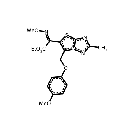 CCOC(=O)/C(=N\OC)c1sc2nc(C)nn2c1COc1ccc(OC)cc1